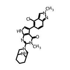 Cn1cc2c(Cl)c(-c3c[nH]c4nc(N5CC6CCCC(C5)N6)n(C)c(=O)c34)ccc2n1